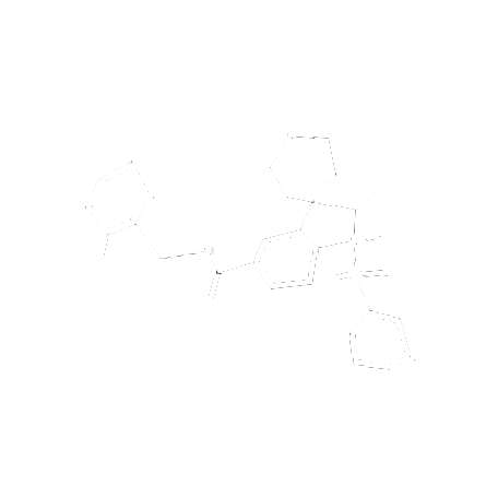 CC(=O)[N+]1(S(=O)(=O)c2cccnc2)c2ccc(C(=O)NCc3ncccc3C(F)(F)F)cc2C2(CCNCC2)C1C